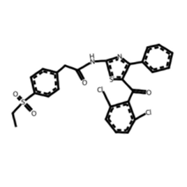 CCS(=O)(=O)c1ccc(CC(=O)Nc2nc(-c3ccccc3)c(C(=O)c3c(Cl)cccc3Cl)s2)cc1